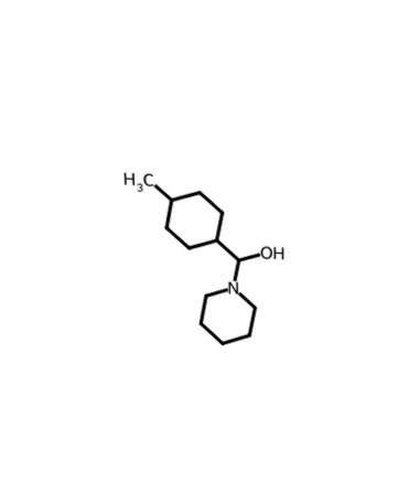 CC1CCC(C(O)N2CCCCC2)CC1